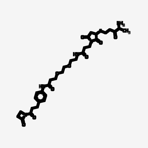 CC(N)C(=O)CCSC1CC(=O)N(CCC(=O)NCCOCCOCCC(=O)Nc2ccc(CCC(=O)N3CCC3=O)cc2)C1=O